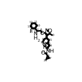 Cc1onc(OCC(N)c2ccccc2F)c1-c1ccn2nc(NC(=O)C3CC3)cc2c1